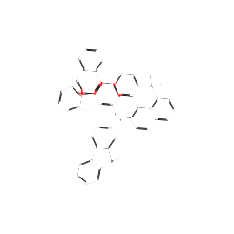 CC1(C)c2ccccc2-c2ccc(N(c3ccc4cccc5c4c3-c3cc(-c4cccc6ccccc46)ccc3C5(C)C)c3cccc4c3sc3ccccc34)cc21